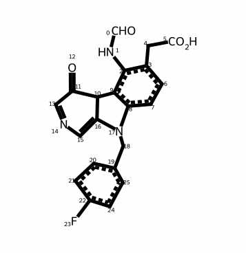 O=CNc1c(CC(=O)O)ccc2c1C1C(=O)C=NC=C1N2Cc1ccc(F)cc1